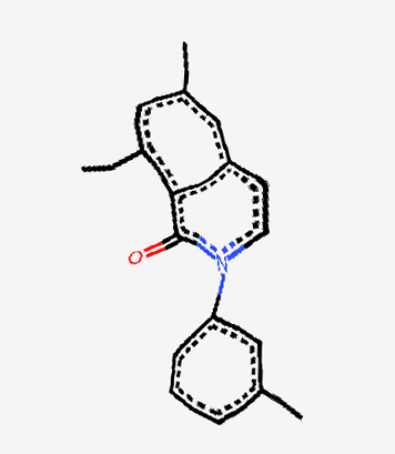 Cc1cccc(-n2ccc3cc(C)cc(C)c3c2=O)c1